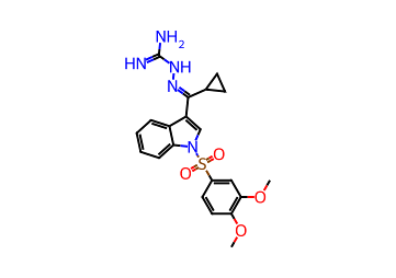 COc1ccc(S(=O)(=O)n2cc(C(=NNC(=N)N)C3CC3)c3ccccc32)cc1OC